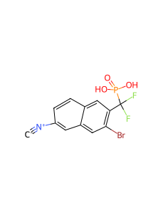 [C-]#[N+]c1ccc2cc(C(F)(F)P(=O)(O)O)c(Br)cc2c1